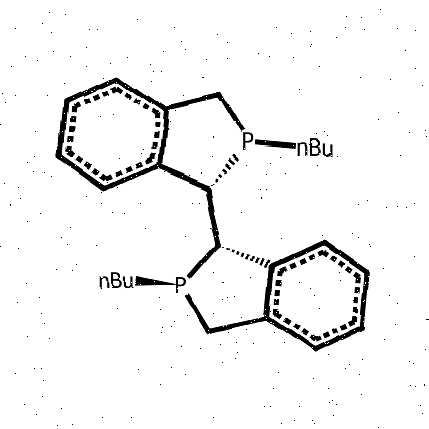 CCCCP1Cc2ccccc2[C@H]1[C@@H]1c2ccccc2C[P@@]1CCCC